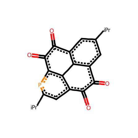 CC(C)c1cc2c3c(c1)c(=O)c(=O)c1pc(C(C)C)cc(c1-3)c(=O)c2=O